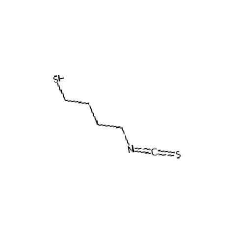 S=C=NCCCCS